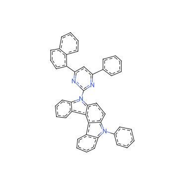 c1ccc(-c2cc(-c3cccc4ccccc34)nc(-n3c4ccccc4c4c5c6ccccc6n(-c6ccccc6)c5ccc43)n2)cc1